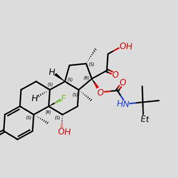 CCC(C)(C)NC(=O)O[C@]1(C(=O)CO)[C@@H](C)C[C@H]2[C@@H]3CCC4=CC(=O)C=C[C@]4(C)[C@@]3(F)[C@@H](O)C[C@@]21C